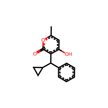 Cc1cc(O)c(C(c2ccccc2)C2CC2)c(=O)o1